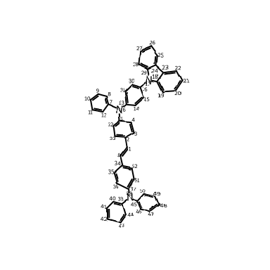 C(=C\c1ccc(N(c2ccccc2)c2ccc(-n3c4ccccc4c4ccccc43)cc2)cc1)/c1ccc(N(c2ccccc2)c2ccccc2)cc1